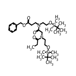 CCC(=O)N(CCO[Si](C)(C)C(C)(C)C)CC(=O)N(CCO[Si](C)(C)C(C)(C)C)CCC(=O)OCc1ccccc1